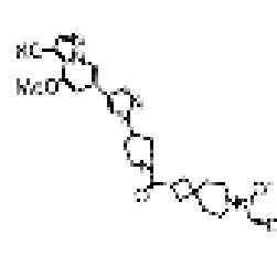 C=C[S+]([O-])N1CCC2(CC1)CC(C(=O)N1CCC(n3cc(-c4cc(OC)c5c(C#N)cnn5c4)cn3)CC1)C2